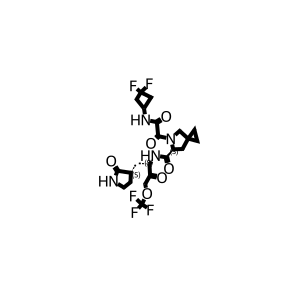 O=C(NC1CC(F)(F)C1)C(=O)N1CC2(CC2)C[C@H]1C(=O)N[C@@H](C[C@@H]1CCNC1=O)C(=O)COC(F)(F)F